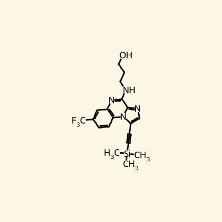 C[Si](C)(C)C#Cc1cnc2c(NCCCO)nc3cc(C(F)(F)F)ccc3n12